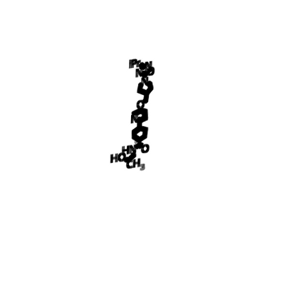 CC(O)CNC(=O)[C@H]1CC=C(c2ccc(OCC3CCN(c4nc(C(C)C)no4)CC3)cn2)CC1